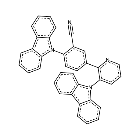 N#Cc1cc(-c2ncccc2-n2c3ccccc3c3ccccc32)ccc1-n1c2ccccc2c2ccccc21